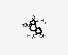 CCCCC12CCc3c(ccc(O)c3C)C1=C(C)C(=O)C2